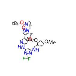 COc1ccc(CNc2cc(Nc3cc(OC4CC4)c(-c4cnn(C[C@@H]5CCN5C(=O)OC(C)(C)C)c4)cn3)nc(C(F)F)n2)c(OC)c1